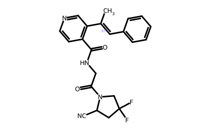 C/C(=C\c1ccccc1)c1cnccc1C(=O)NCC(=O)N1CC(F)(F)CC1C#N